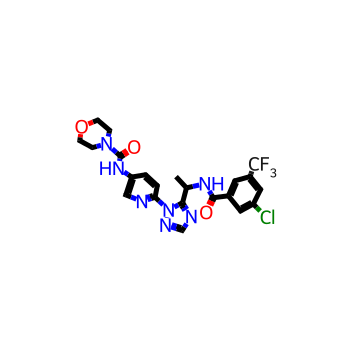 CC(NC(=O)c1cc(Cl)cc(C(F)(F)F)c1)c1ncnn1-c1ccc(NC(=O)N2CCOCC2)cn1